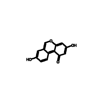 O=c1cc(O)cc2occ3cc(O)ccc3c1-2